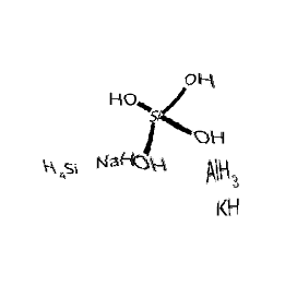 O[Si](O)(O)O.[AlH3].[KH].[NaH].[SiH4]